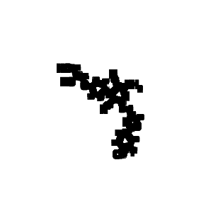 N#Cc1c(N)nc(SCc2coc(-c3ccc(Cl)c(F)c3)n2)c(C#N)c1-c1ccc(OC[C@@H](O)CO)cc1